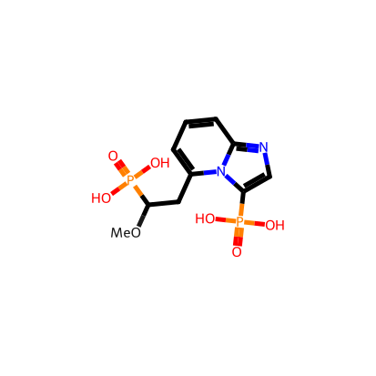 COC(Cc1cccc2ncc(P(=O)(O)O)n12)P(=O)(O)O